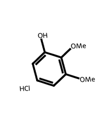 COc1cccc(O)c1OC.Cl